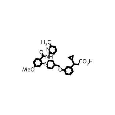 COc1ccc(C(=O)Nc2cccc(C)n2)c(N2CCC(COc3cccc(C(CC(=O)O)C4CC4)c3)CC2)c1